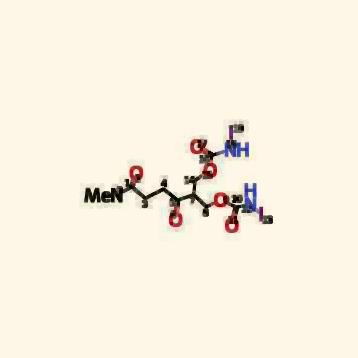 CNC(=O)CCC(=O)C(COC(=O)NI)COC(=O)NI